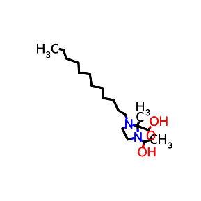 CCCCCCCCCCCCN1CCN(C(C)O)C1(C)C(=O)O